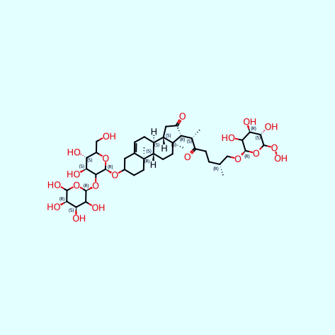 C[C@H](CCC(=O)[C@@H](C)[C@H]1C(=O)C[C@H]2[C@@H]3CC=C4CC(O[C@@H]5OC(CO)[C@@H](O)[C@H](O)C5O[C@@H]5OC(O)[C@H](O)[C@H](O)C5O)CC[C@]4(C)[C@H]3CC[C@]12C)CO[C@@H]1OC(OO)[C@@H](O)[C@H](O)C1O